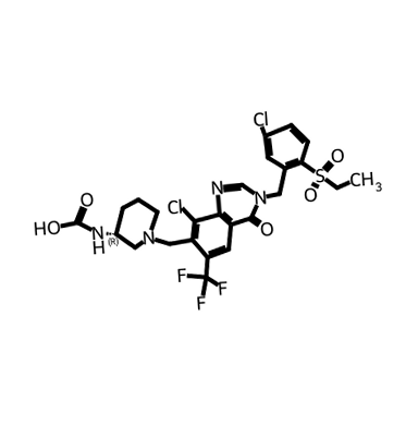 CCS(=O)(=O)c1ccc(Cl)cc1Cn1cnc2c(Cl)c(CN3CCC[C@@H](NC(=O)O)C3)c(C(F)(F)F)cc2c1=O